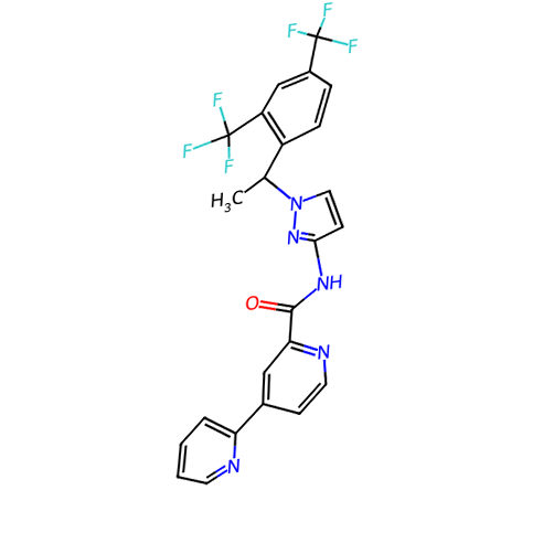 CC(c1ccc(C(F)(F)F)cc1C(F)(F)F)n1ccc(NC(=O)c2cc(-c3ccccn3)ccn2)n1